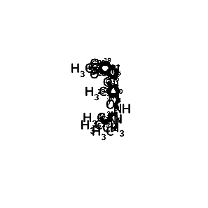 CCn1nc(NC(=O)Cc2ccc(Oc3ccnc4ccc(S(C)(=O)=O)cc34)c(C)c2)cc1C(C)(C)C